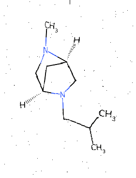 CC(C)CN1C[C@H]2C[C@@H]1CN2C